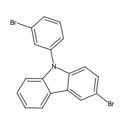 Brc1cccc(-n2c3ccccc3c3cc(Br)ccc32)c1